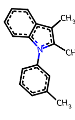 Cc1cccc(-n2c(C)c(C)c3ccccc32)c1